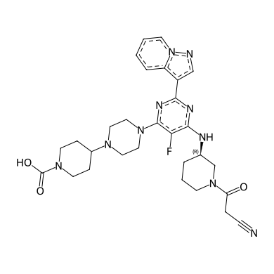 N#CCC(=O)N1CCC[C@@H](Nc2nc(-c3cnn4ccccc34)nc(N3CCN(C4CCN(C(=O)O)CC4)CC3)c2F)C1